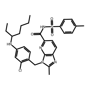 CCCCC(CC)Nc1ccc(Cn2c(C)nc3ccc(C(=O)NS(=O)(=O)c4ccc(C)cc4)nc32)c(Cl)c1